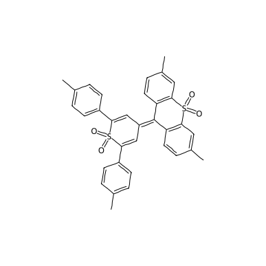 Cc1ccc(C2=CC(=C3c4ccc(C)cc4S(=O)(=O)c4cc(C)ccc43)C=C(c3ccc(C)cc3)S2(=O)=O)cc1